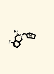 CC[C@H]1Cc2c(F)cccc2CN1CC1CC2CCC(C1)N2C